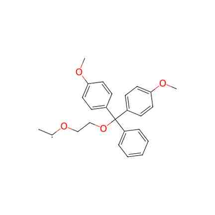 C[CH]OCCOC(c1ccccc1)(c1ccc(OC)cc1)c1ccc(OC)cc1